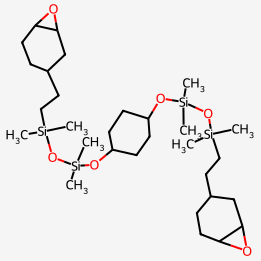 C[Si](C)(CCC1CCC2OC2C1)O[Si](C)(C)OC1CCC(O[Si](C)(C)O[Si](C)(C)CCC2CCC3OC3C2)CC1